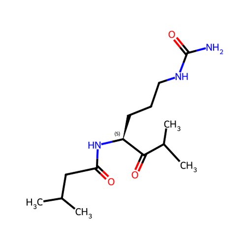 CC(C)CC(=O)N[C@@H](CCCNC(N)=O)C(=O)C(C)C